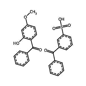 COc1ccc(C(=O)c2ccccc2)c(O)c1.O=C(c1ccccc1)c1cccc(S(=O)(=O)O)c1